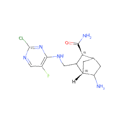 NC(=O)[C@H]1C2CC(N)[C@@H](C2)C1CNc1nc(Cl)ncc1F